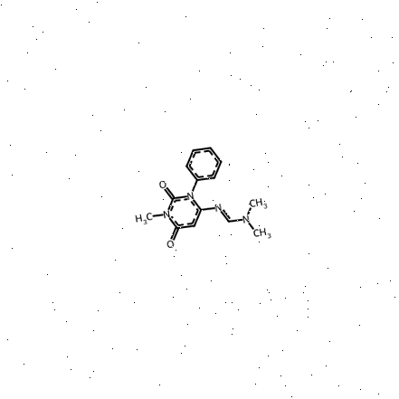 CN(C)/C=N/c1cc(=O)n(C)c(=O)n1-c1ccccc1